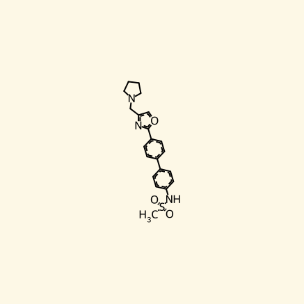 CS(=O)(=O)Nc1ccc(-c2ccc(-c3nc(CN4CCCC4)co3)cc2)cc1